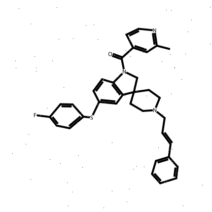 Cc1cc(C(=O)N2CC3(CCN(CC=Cc4ccccc4)CC3)c3cc(Sc4ccc(F)cc4)ccc32)ccn1